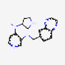 CN(c1ccncc1NCc1ccc2nccnc2c1)C1CCNC1